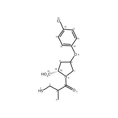 CC(CS)C(=O)N1CC(Oc2ccc(Cl)cc2)C[C@H]1C(=O)O